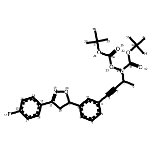 CC(C#Cc1cccc(C2CC(c3ccc(F)cc3)=NO2)c1)N(OC(=O)OC(C)(C)C)C(=O)OC(C)(C)C